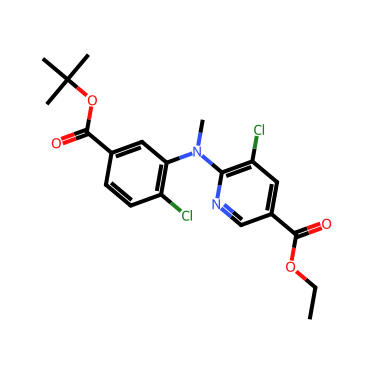 CCOC(=O)c1cnc(N(C)c2cc(C(=O)OC(C)(C)C)ccc2Cl)c(Cl)c1